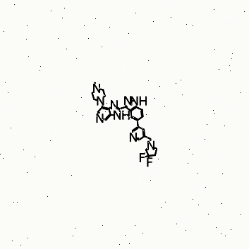 CN1CCN(c2cncc3[nH]c(-c4n[nH]c5ccc(-c6cncc(CN7CCC(F)(F)C7)c6)cc45)nc23)CC1